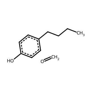 C=O.CCCCc1ccc(O)cc1